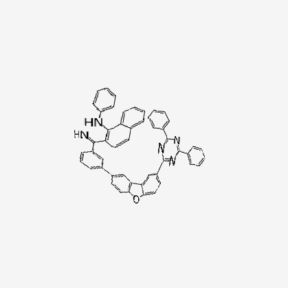 N=C(c1cccc(-c2ccc3oc4ccc(-c5nc(-c6ccccc6)nc(-c6ccccc6)n5)cc4c3c2)c1)c1ccc2ccccc2c1Nc1ccccc1